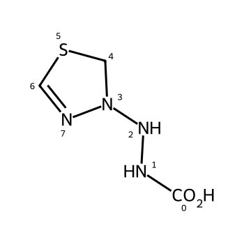 O=C(O)NNN1CSC=N1